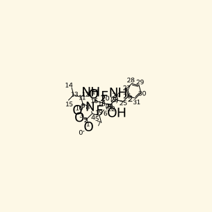 COC(=O)C(C(C)C)N(C(=O)C(N)C(C)C)C(=O)C(F)(F)[C@H](O)[C@@H](N)Cc1ccccc1